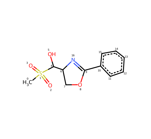 CS(=O)(=O)C(O)C1COC(c2ccccc2)=N1